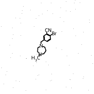 CN1CCCN(Cc2ccc(Br)c(C#N)c2)CC1